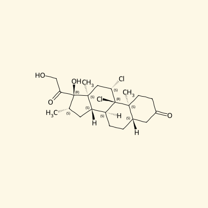 C[C@H]1C[C@H]2[C@@H]3CC[C@H]4CC(=O)CC[C@]4(C)[C@@]3(Cl)[C@@H](Cl)C[C@]2(C)[C@@]1(O)C(=O)CO